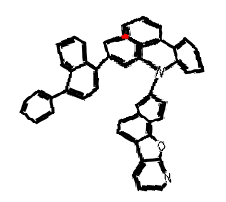 c1ccc(-c2ccccc2N(c2cccc(-c3ccc(-c4ccccc4)c4ccccc34)c2)c2ccc3c(ccc4c5cccnc5oc34)c2)cc1